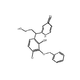 O=c1cc[nH]c(C(CCO)c2ccc(Cl)c(OCc3ccccc3)c2O)c1